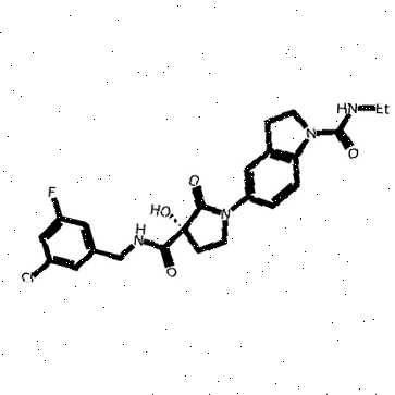 CCNC(=O)N1CCc2cc(N3CC[C@@](O)(C(=O)NCc4cc(F)cc(Cl)c4)C3=O)ccc21